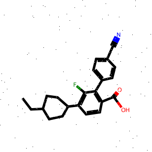 CCC1CCC(c2ccc(C(=O)O)c(-c3ccc(C#N)cc3)c2F)CC1